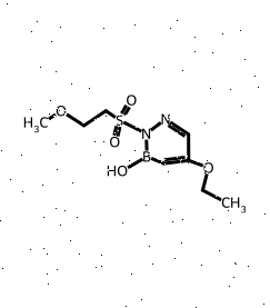 CCOC1=CB(O)N(S(=O)(=O)CCOC)N=C1